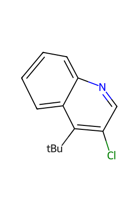 CC(C)(C)c1c(Cl)cnc2ccccc12